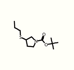 CCCSC1CCN(C(=O)OC(C)(C)C)C1